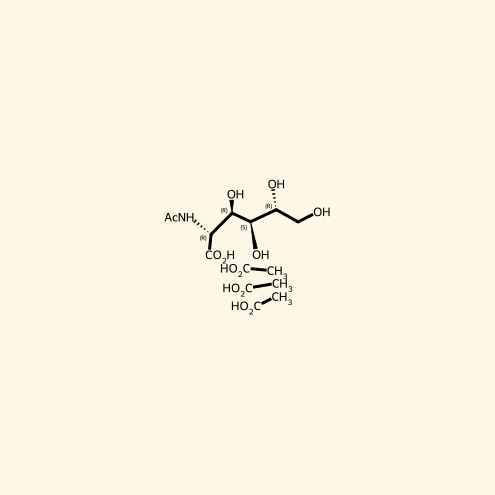 CC(=O)N[C@@H](C(=O)O)[C@@H](O)[C@H](O)[C@H](O)CO.CC(=O)O.CC(=O)O.CC(=O)O